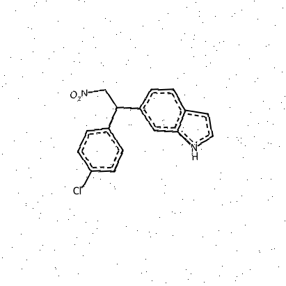 O=[N+]([O-])CC(c1ccc(Cl)cc1)c1ccc2cc[nH]c2c1